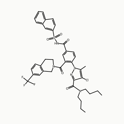 CCCCN(CCCC)C(=O)c1nn(-c2ccc(C(=O)NS(=O)(=O)c3ccc4ccccc4c3)cc2C(=O)N2CCc3ccc(C(F)(F)F)cc3C2)c(C)c1Cl